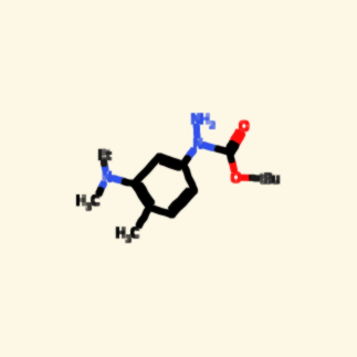 CCN(C)c1cc(N(N)C(=O)OC(C)(C)C)ccc1C